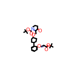 CC(C)(C)OC(=O)/C=C/Oc1ccccc1C1CCC(OCC2C(=O)CCCN2C(=O)OC(C)(C)C)CC1